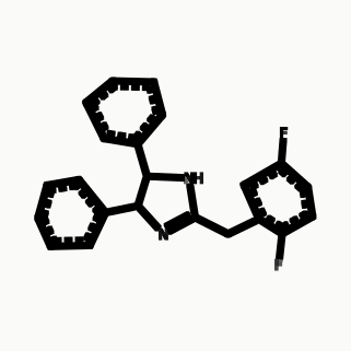 Fc1ccc(F)c(CC2=NC(c3ccccc3)C(c3ccccc3)N2)c1